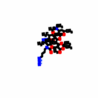 CC[C@@H](O)[C@@]1(C)OC(=O)N(CCCCN=[N+]=[N-])[C@@H]1[C@@H](C)NC(=O)[C@H](C)C[C@@](C)(OC)[C@@H](CC1=C(C)C(=O)OC(C)(C)O1)O[C@@H]1OC(C)CC(N(C)C)C1P=O